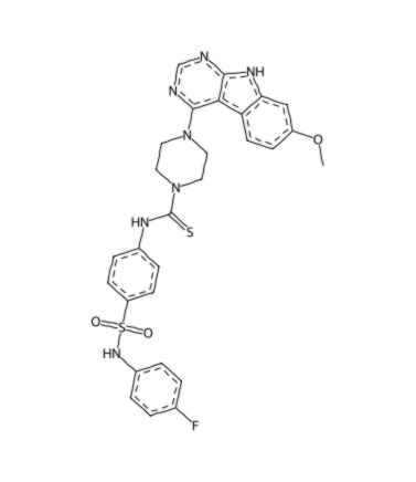 COc1ccc2c(c1)[nH]c1ncnc(N3CCN(C(=S)Nc4ccc(S(=O)(=O)Nc5ccc(F)cc5)cc4)CC3)c12